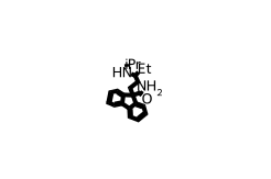 CCC(CCC1(C(N)=O)c2ccccc2-c2ccccc21)NC(C)C